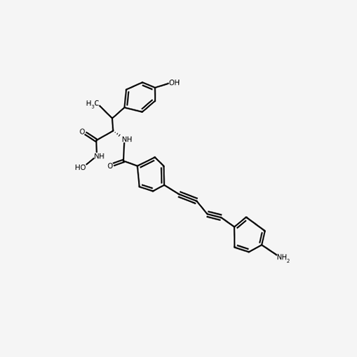 CC(c1ccc(O)cc1)[C@H](NC(=O)c1ccc(C#CC#Cc2ccc(N)cc2)cc1)C(=O)NO